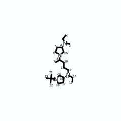 CCN(C)[C@@H]1CCN(C(C)CCCN(CC)[C@@H]2CCN(C(C)(C)C)C2)C1